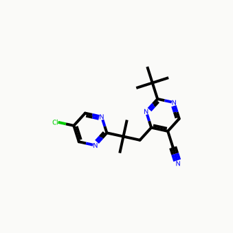 CC(C)(C)c1ncc(C#N)c(CC(C)(C)c2ncc(Cl)cn2)n1